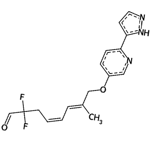 C/C(=C\C=C/CC(F)(F)C=O)COc1ccc(-c2ccn[nH]2)nc1